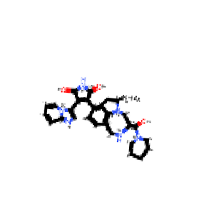 CC(=O)Nc1cc2c(C3=C(c4cnc5ccccn45)C(=O)NC3=O)ccc3c2n1CC(C(=O)N1CCCCC1)NC3